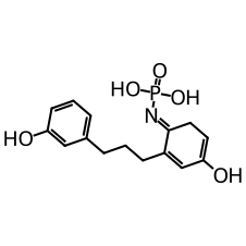 O=P(O)(O)N=C1CC=C(O)C=C1CCCc1cccc(O)c1